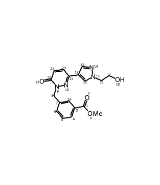 COC(=O)c1cccc(Cn2nc(-c3cnn(CCO)c3)ccc2=O)c1